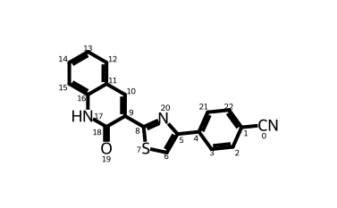 N#Cc1ccc(-c2csc(-c3cc4ccccc4[nH]c3=O)n2)cc1